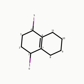 IC1CCC(I)C2=C1CCCC2